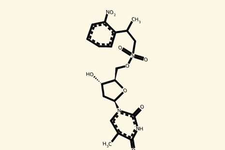 Cc1cn([C@H]2C[C@H](O)[C@@H](COS(=O)(=O)CC(C)c3ccccc3[N+](=O)[O-])O2)c(=O)[nH]c1=O